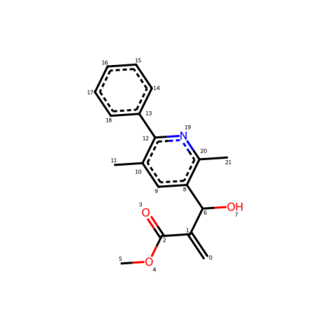 C=C(C(=O)OC)C(O)c1cc(C)c(-c2ccccc2)nc1C